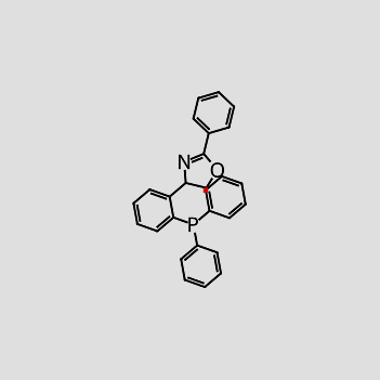 c1ccc(C2=NC(c3ccccc3P(c3ccccc3)c3ccccc3)CO2)cc1